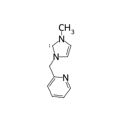 CN1[C]N(Cc2ccccn2)C=C1